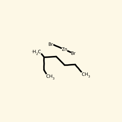 [Br][Zn][Br].[CH2]C(CC)CCCC